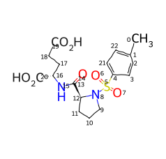 Cc1ccc(S(=O)(=O)N2CCC[C@H]2C(=O)N[C@@H](CCC(=O)O)C(=O)O)cc1